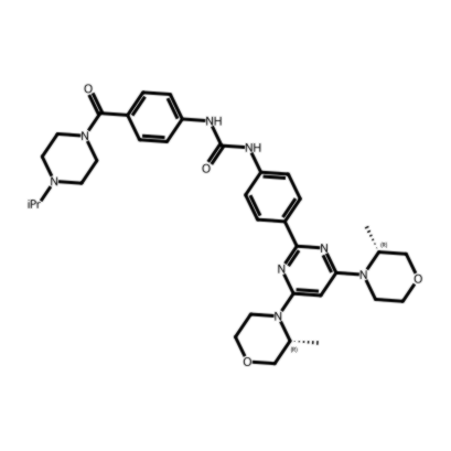 CC(C)N1CCN(C(=O)c2ccc(NC(=O)Nc3ccc(-c4nc(N5CCOC[C@H]5C)cc(N5CCOC[C@H]5C)n4)cc3)cc2)CC1